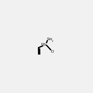 C=C[SiH]([SiH3])Cl